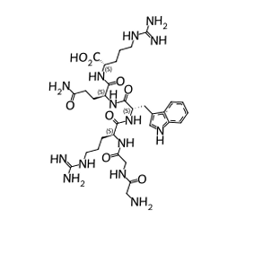 N=C(N)NCCC[C@H](NC(=O)[C@H](CCC(N)=O)NC(=O)[C@H](Cc1c[nH]c2ccccc12)NC(=O)[C@H](CCCNC(=N)N)NC(=O)CNC(=O)CN)C(=O)O